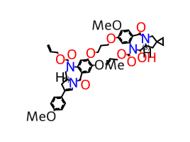 C=CCOC(=O)N1C[C@@H]2CC(c3ccc(OC)cc3)=CN2C(=O)c2cc(OC)c(OCCCOc3cc4c(cc3OC)C(=O)N3CC5(CC5)C[C@H]3C(O)N4C(=O)OCC=C)cc21